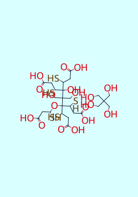 O=C(O)CC(S)OC(C(S)CC(=O)O)(C(S)CC(=O)O)C(CO)(CO)C(O)(C(S)CC(=O)O)C(S)CC(=O)O.OCC(CO)(CO)CO